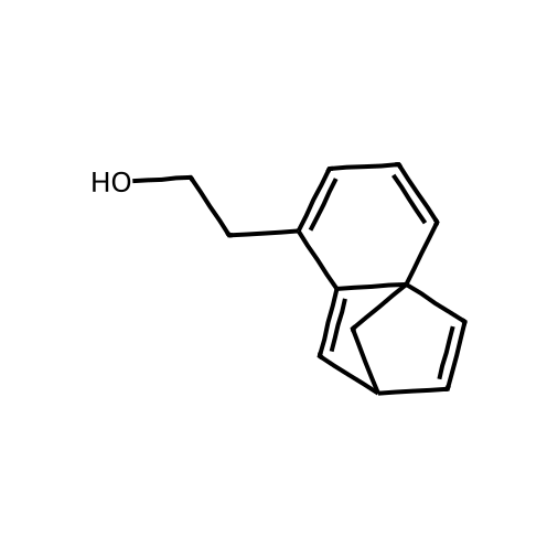 OCCC1=CC=CC23C=CC(C=C12)C3